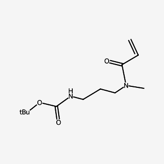 C=CC(=O)N(C)CCCNC(=O)OC(C)(C)C